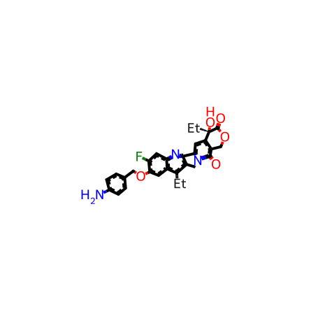 CCc1c2c(nc3cc(F)c(OCc4ccc(N)cc4)cc13)-c1cc3c(c(=O)n1C2)COC(=O)[C@]3(O)CC